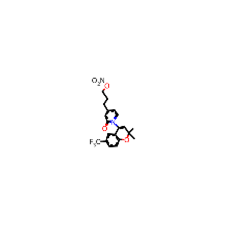 CC1(C)C=C(n2ccc(CCCO[N+](=O)[O-])cc2=O)c2cc(C(F)(F)F)ccc2O1